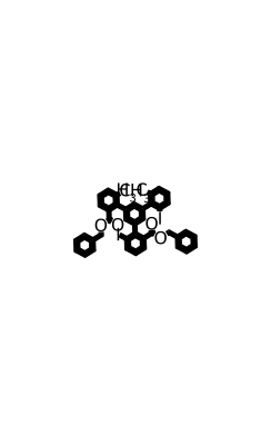 Cc1cccc(I)c1-c1cc(-c2c(C)cccc2C(=O)OCc2ccccc2)cc(-c2c(I)cccc2C(=O)OCc2ccccc2)c1